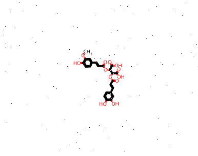 COc1cc(C=CC(=O)OC(C(=O)O)C(OC(=O)C=Cc2ccc(O)c(O)c2)C(=O)O)ccc1O